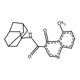 Cc1cccc2ncc(C(=O)NC34CC5CC(CC(C5)C3)C4)c(=O)n12